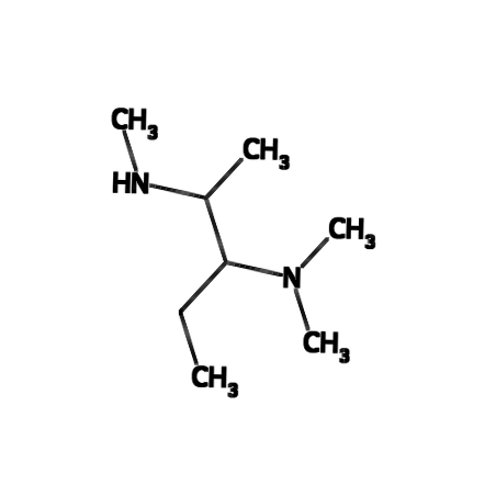 CCC(C(C)NC)N(C)C